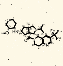 CO[C@@H]1COCC[C@@H]1N[C@@H]1C[C@H]2CN(C(C)C)C[C@@]2(C(=O)N2CCc3ncc(C(F)(F)F)cc3C2)C1